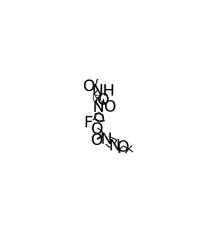 C=C(OC(C)(C)C)N1CCN(C(=O)COc2ccc(N3C[C@H](CNC(C)=O)OC3=O)cc2F)CC1